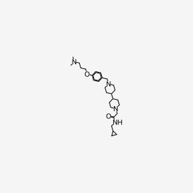 CN(C)CCCOc1ccc(CN2CCC(C3CCN(CC(=O)NCC4CC4)CC3)CC2)cc1